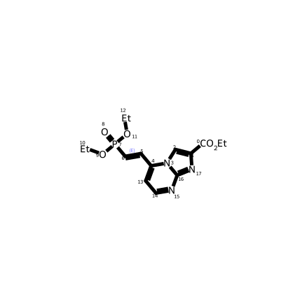 CCOC(=O)c1cn2c(/C=C/P(=O)(OCC)OCC)ccnc2n1